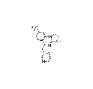 FC(F)(F)c1ccc(C(Cc2cnccn2)N=C2NCCN2)cc1